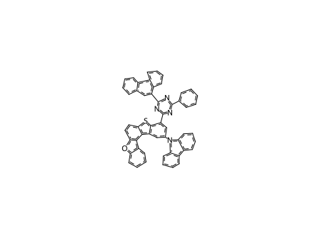 c1ccc(-c2nc(-c3cc4ccccc4c4ccccc34)nc(-c3cc(-n4c5ccccc5c5ccccc54)cc4c3sc3ccc5oc6ccccc6c5c34)n2)cc1